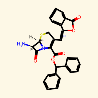 N[C@@H]1C(=O)N2C(C(=O)OC(c3ccccc3)c3ccccc3)=C(/C=C3/OC(=O)c4ccccc43)CS[C@H]12